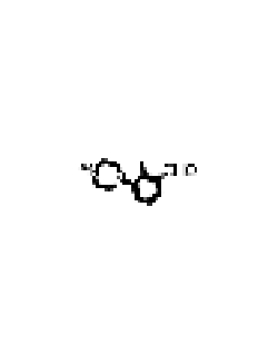 Cc1c(C=O)cccc1N1CCN(C)CC1